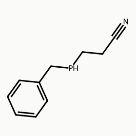 N#CCCPCc1ccccc1